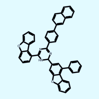 c1ccc(-c2cc(C3N=C(c4ccc(-c5ccc6ccccc6c5)cc4)N=C(c4cccc5oc6ccccc6c45)N3)cc3oc4ccccc4c23)cc1